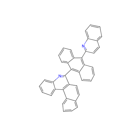 c1ccc2nc(-c3c4ccccc4c(-c4nc5ccccc5c5c4ccc4ccccc45)c4ccccc34)ccc2c1